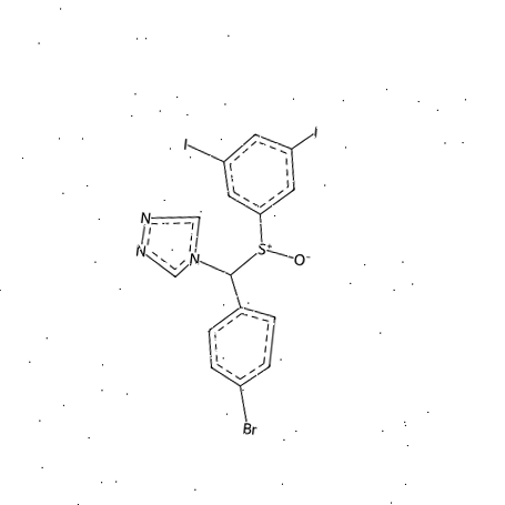 [O-][S+](c1cc(I)cc(I)c1)C(c1ccc(Br)cc1)n1cnnc1